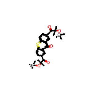 CC(C)(O[Si](C)(C)C)C(=O)c1ccc2sc3ccc(C(=O)C(C)(C)O[Si](C)(C)C)cc3c(=O)c2c1